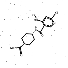 CNC(=O)[C@H]1CC[C@H](NC(=O)c2cnc(Cl)cc2NC(C)C)CC1